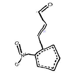 O=[C]/C=C/c1ccccc1[N+](=O)[O-]